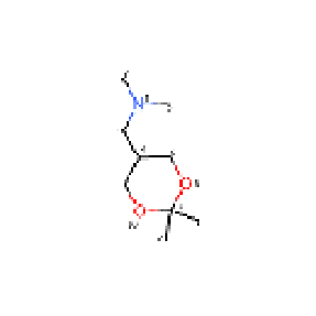 CN(C)CC1COC(C)(C)OC1